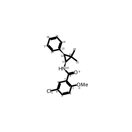 COc1ccc(Cl)cc1C(=O)N[C@H]1[C@@H](c2ccccc2)C1(C)C